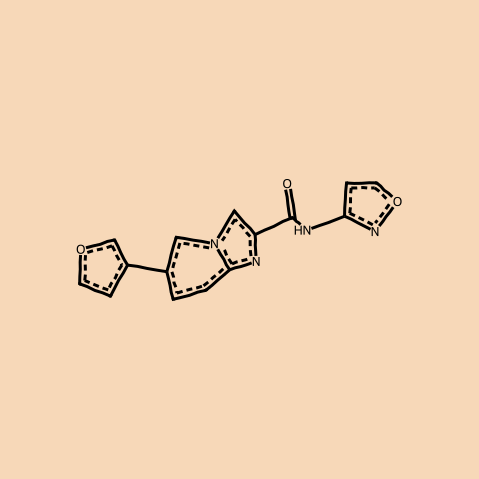 O=C(Nc1ccon1)c1cn2cc(-c3ccoc3)ccc2n1